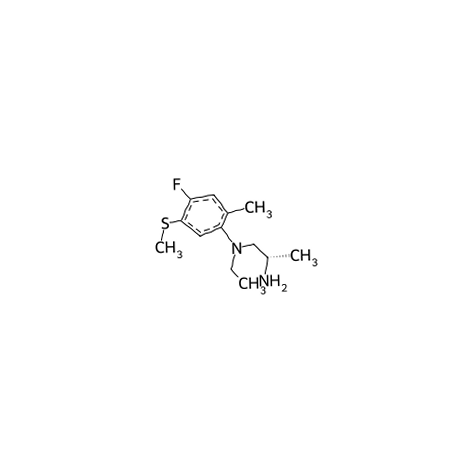 CCN(C[C@H](C)N)c1cc(SC)c(F)cc1C